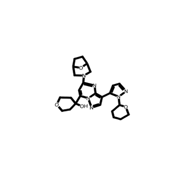 OC1(c2cc(N3CC4CCC(C3)O4)nc3c(-c4ccnn4C4CCCCO4)cnn23)CCOCC1